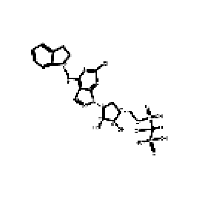 O=P(O)(O)C(Cl)(Cl)P(=O)(O)OC[C@H]1C[C@@H](n2nnc3c(N[C@@H]4CCc5ccccc54)nc(Cl)nc32)[C@H](O)[C@@H]1O